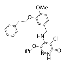 COc1ccc(CNc2c(OC(C)C)n[nH]c(=O)c2Cl)cc1OCCc1ccccc1